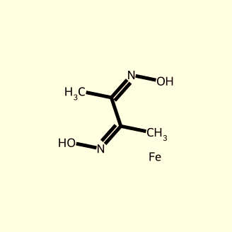 CC(=N/O)/C(C)=N\O.[Fe]